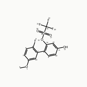 COc1ccc(F)c(-c2ccc(O)cc2OS(=O)(=O)C(F)(F)F)c1